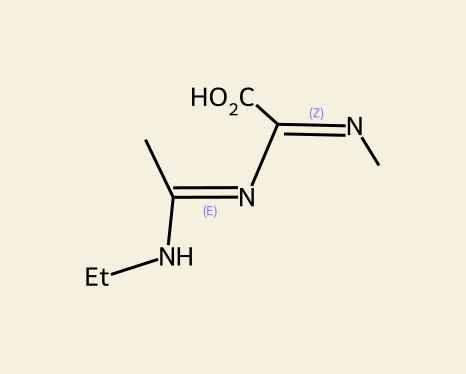 CCN/C(C)=N/C(=N\C)C(=O)O